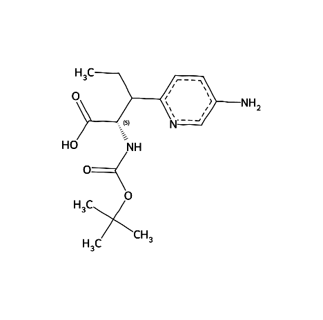 CCC(c1ccc(N)cn1)[C@H](NC(=O)OC(C)(C)C)C(=O)O